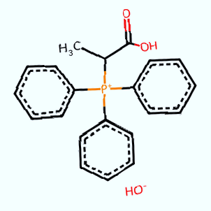 CC(C(=O)O)[P+](c1ccccc1)(c1ccccc1)c1ccccc1.[OH-]